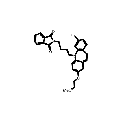 COCCOC1=CC=C2C(=CCc3ccc(Cl)cc3N2CCCCN2C(=O)c3ccccc3C2=O)C1